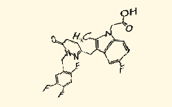 Cc1c(Cc2ccc(=O)n(Cc3cc(F)c(F)cc3F)n2)c2cc(F)ccc2n1CC(=O)O